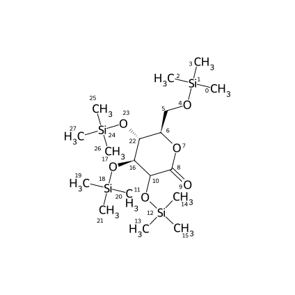 C[Si](C)(C)OC[C@H]1OC(=O)C(O[Si](C)(C)C)[C@@H](O[Si](C)(C)C)[C@@H]1O[Si](C)(C)C